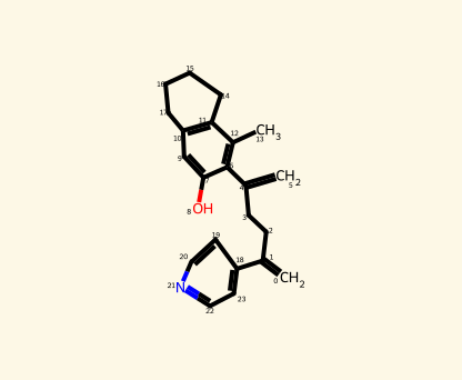 C=C(CCC(=C)c1c(O)cc2c(c1C)CCCC2)c1ccncc1